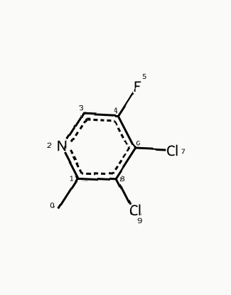 Cc1ncc(F)c(Cl)c1Cl